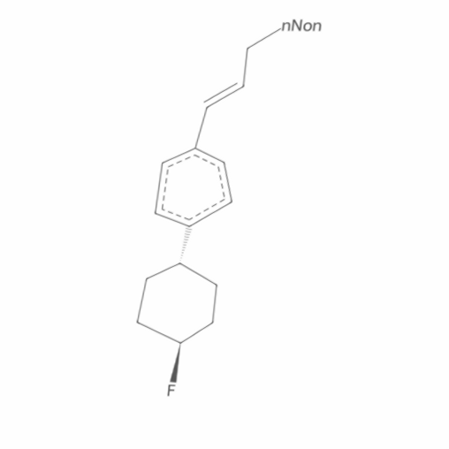 CCCCCCCCCCC=Cc1ccc([C@H]2CC[C@H](F)CC2)cc1